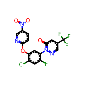 O=c1cc(C(F)(F)F)cnn1-c1cc(Oc2ccc([N+](=O)[O-])cn2)c(Cl)cc1F